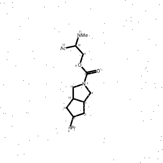 CCCC1CC2CN(C(=O)OCC(NC)C(C)=O)CC2C1